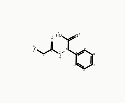 CCC(=O)N[C@H](C(=O)O)c1ccccc1